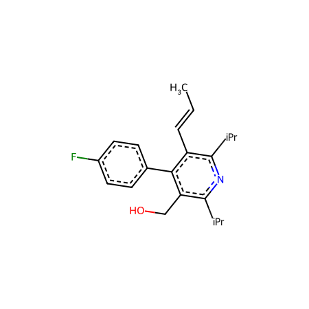 CC=Cc1c(C(C)C)nc(C(C)C)c(CO)c1-c1ccc(F)cc1